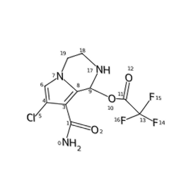 NC(=O)c1c(Cl)cn2c1C(OC(=O)C(F)(F)F)NCC2